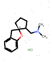 CN(C)CC1CCC[C@@]12Cc1ccccc1O2.Cl